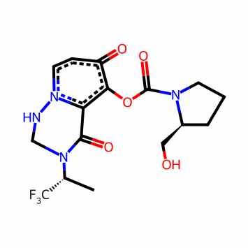 C[C@@H](N1CNn2ccc(=O)c(OC(=O)N3CCC[C@H]3CO)c2C1=O)C(F)(F)F